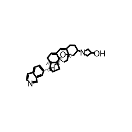 C[C@]12CC=C3C=C4CCC(N5CC(O)C5)C[C@]45CC[C@]3(O5)[C@@H]1CC[C@@H]2c1ccc2ccncc2c1